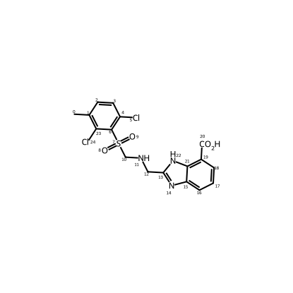 Cc1ccc(Cl)c(S(=O)(=O)CNCc2nc3cccc(C(=O)O)c3[nH]2)c1Cl